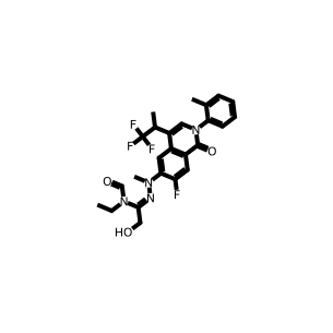 CCN(C=O)/C(CO)=N\N(C)c1cc2c(C(C)C(F)(F)F)cn(-c3ccccc3C)c(=O)c2cc1F